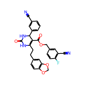 N#Cc1cccc(C2NC(=O)NC(CCc3ccc4c(c3)OCO4)=C2C(=O)OCc2ccc(F)c(C#N)c2)c1